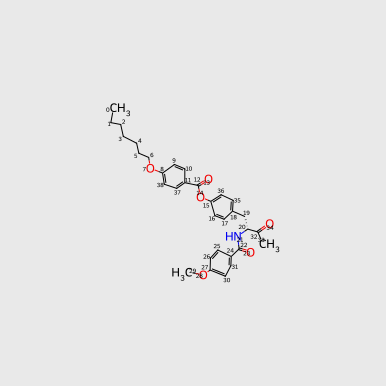 CCCCCCCOc1ccc(C(=O)Oc2ccc(C[C@@H](NC(=O)c3ccc(OC)cc3)C(C)=O)cc2)cc1